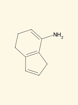 NC1=CCCC2=C1CC=C2